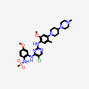 COc1ccc(NS(C)(=O)=O)c(Nc2nc(Nc3cc(C)c(N4CCC(N5CCN(C)CC5)CC4)cc3OC)ncc2Cl)c1